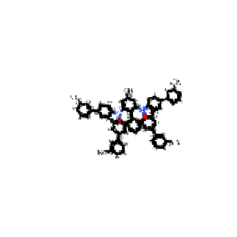 N#Cc1cccc(-c2ccc3c(c2)c2cc(-c4cccc(C#N)c4)ccc2n3-c2cc(C#N)cc(-n3c4ccc(-c5cccc(C#N)c5)cc4c4cc(-c5cccc(C#N)c5)ccc43)c2-c2c(C(F)(F)F)cccc2C(F)(F)F)c1